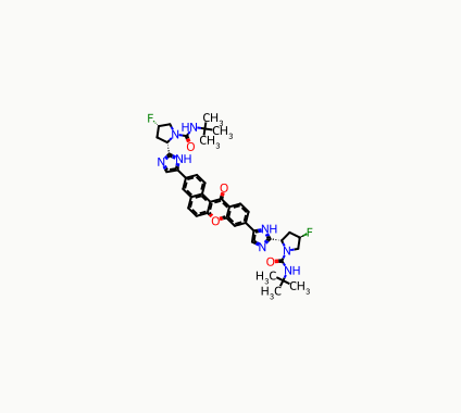 CC(C)(C)NC(=O)N1C[C@H](F)C[C@H]1c1ncc(-c2ccc3c(=O)c4c(ccc5cc(-c6cnc([C@@H]7C[C@H](F)CN7C(=O)NC(C)(C)C)[nH]6)ccc54)oc3c2)[nH]1